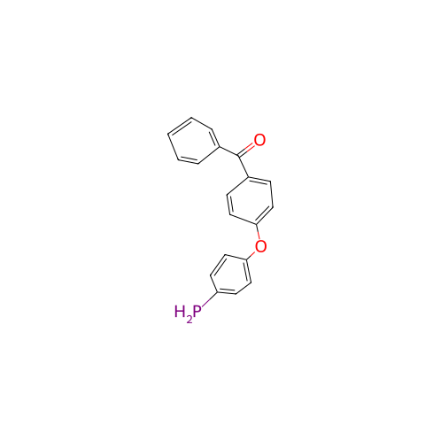 O=C(c1ccccc1)c1ccc(Oc2ccc(P)cc2)cc1